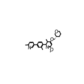 COC1=NC(c2ccc(-c3ccc(C)nc3)cc2C)C(C)C(OC[C@H]2CCCOC2)=C1